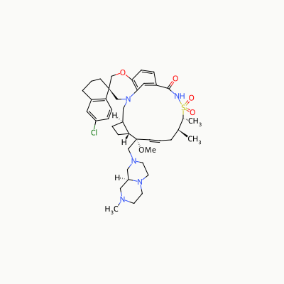 CO[C@@]1(CN2CCN3CCN(C)C[C@H]3C2)/C=C/C[C@H](C)[C@@H](C)S(=O)(=O)NC(=O)c2ccc3c(c2)N(C[C@@H]2CC[C@H]21)C[C@@]1(CCCc2cc(Cl)ccc21)CO3